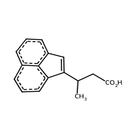 CC(CC(=O)O)C1=Cc2cccc3cccc1c23